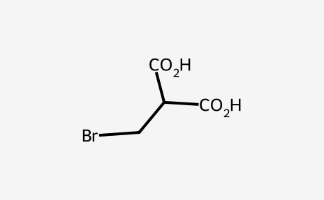 O=C(O)C(CBr)C(=O)O